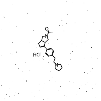 CC(=O)N1CC2CC=C(c3ccc(CCN4CCCC4)cc3)C2C1.Cl